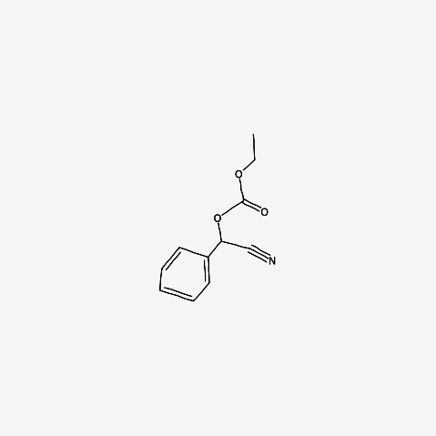 CCOC(=O)OC(C#N)c1ccccc1